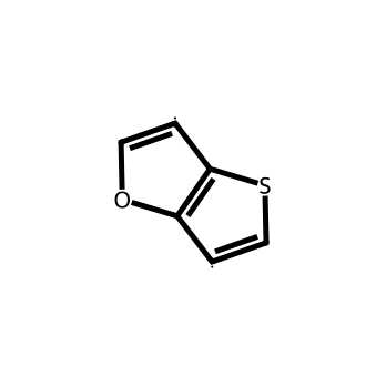 [c]1csc2[c]coc12